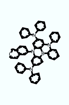 c1ccc(N(c2ccccc2)c2ccc3c(c2)N(c2ccc4ccccc4c2)c2cc(N(c4ccccc4)c4ccccc4)cc4c2B3c2ccccc2N4c2ccccc2)cc1